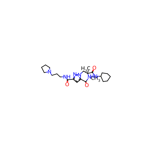 CN1C(=O)c2cc(C(=O)NCCCN3CCCC3)nn2CC1(C)C(=O)NC1CCCCC1